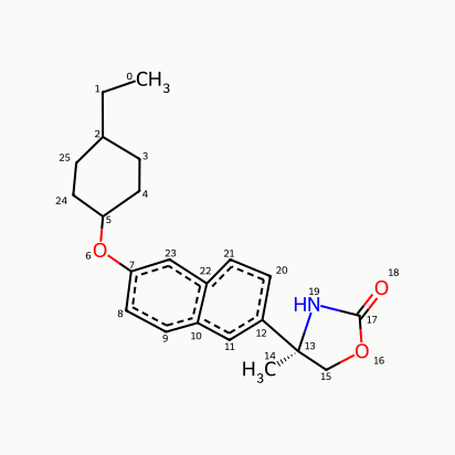 CCC1CCC(Oc2ccc3cc([C@]4(C)COC(=O)N4)ccc3c2)CC1